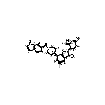 Cn1ccc2ccc(CN3CCC(c4cc(F)cc5c4CN(C4CCC(=O)NC4=O)C5=O)CC3)cc21